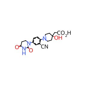 N#Cc1cc(N2CCC(=O)NC2=O)ccc1N1CCC(O)(CC(=O)O)CC1